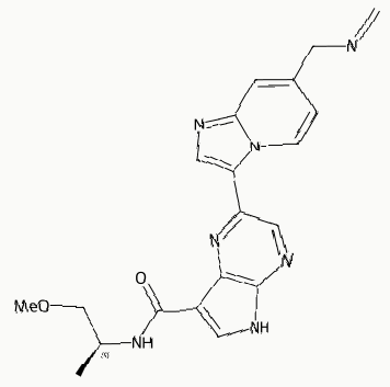 C=NCc1ccn2c(-c3cnc4[nH]cc(C(=O)N[C@@H](C)COC)c4n3)cnc2c1